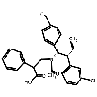 C=C[C@H](c1cccc(Cl)c1)[C@@H](c1ccc(Cl)cc1)N(CC(C(=O)O)c1ccccc1)C(C)=O